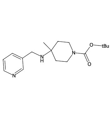 CC1(NCc2cccnc2)CCN(C(=O)OC(C)(C)C)CC1